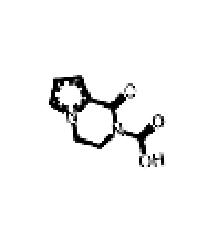 O=C(O)N1CCn2cccc2C1=O